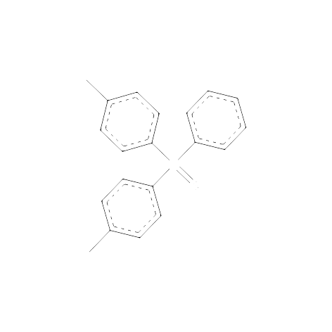 Cc1ccc(P(=S)(c2ccccc2)c2ccc(C)cc2)cc1